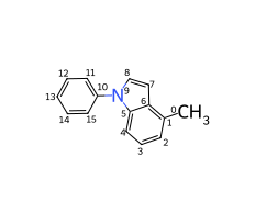 Cc1cccc2c1ccn2-c1ccccc1